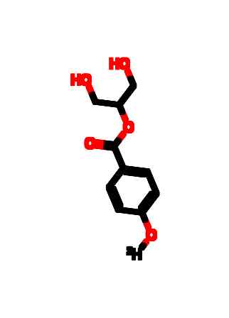 [2H]Oc1ccc(C(=O)OC(CO)CO)cc1